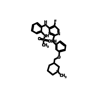 CN1CCCC(COc2cccc(Nc3ncc(F)c(Nc4ccccc4NS(C)(=O)=O)n3)c2)C1